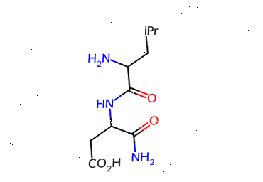 CC(C)CC(N)C(=O)NC(CC(=O)O)C(N)=O